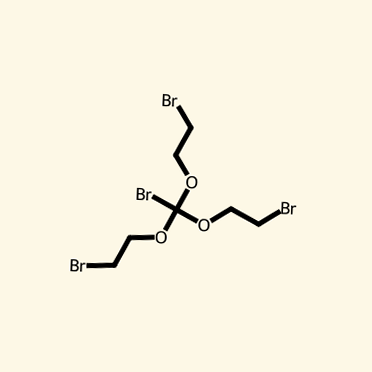 BrCCOC(Br)(OCCBr)OCCBr